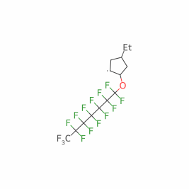 [CH2]CC1C[CH]C(OC(F)(F)C(F)(F)C(F)(F)C(F)(F)C(F)(F)C(F)(F)C(F)(F)F)C1